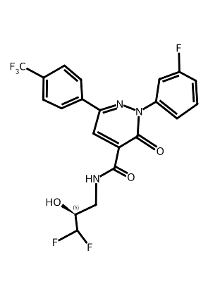 O=C(NC[C@H](O)C(F)F)c1cc(-c2ccc(C(F)(F)F)cc2)nn(-c2cccc(F)c2)c1=O